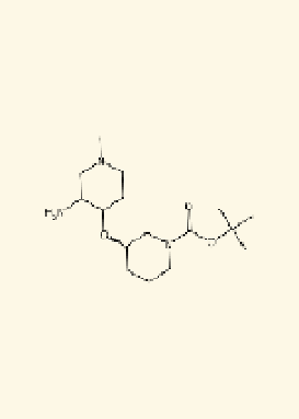 CN1CCC(O[C@@H]2CCCN(C(=O)OC(C)(C)C)C2)C(N)C1